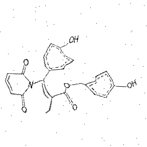 CC(C(=O)Oc1ccc(O)cc1)=C(c1ccc(O)cc1)N1C(=O)C=CC1=O